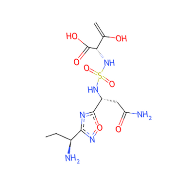 C=C(O)[C@H](NS(=O)(=O)N[C@H](CC(N)=O)c1nc([C@@H](N)CC)no1)C(=O)O